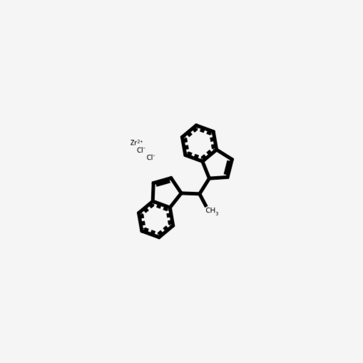 CC(C1C=Cc2ccccc21)C1C=Cc2ccccc21.[Cl-].[Cl-].[Zr+2]